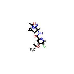 Cc1nc(C(C)(CC2CC2)NC(=O)c2cc(O[C@@H](C)C(F)(F)F)c(Br)cn2)no1